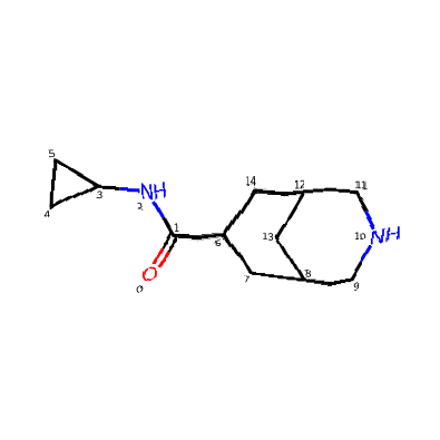 O=C(NC1CC1)C1CC2CNCC(C2)C1